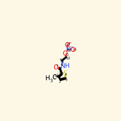 Cc1ccsc1C(=O)NCCO[N+](=O)[O-]